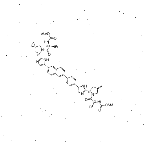 C=C1C[C@@H](c2ncc(-c3ccc(-c4ccc5cc(-c6cnc([C@@H]7CC8(CC8)CN7C(=O)[C@@H](NC(=O)OC)C(C)C)[nH]6)ccc5c4)cc3)[nH]2)N(C(=O)[C@@H](NC(=O)OC)C(C)C)C1